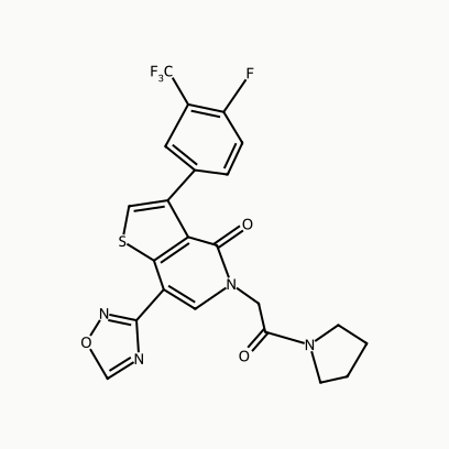 O=C(Cn1cc(-c2ncon2)c2scc(-c3ccc(F)c(C(F)(F)F)c3)c2c1=O)N1CCCC1